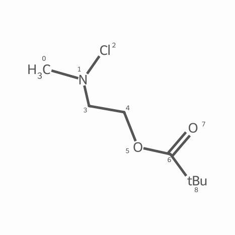 CN(Cl)CCOC(=O)C(C)(C)C